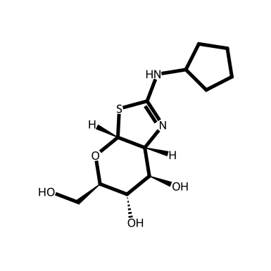 OC[C@H]1O[C@@H]2SC(NC3CCCC3)=N[C@@H]2[C@@H](O)[C@@H]1O